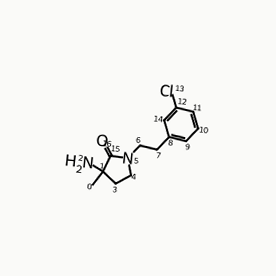 CC1(N)CCN(CCc2cccc(Cl)c2)C1=O